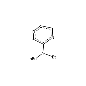 CCCCN(CC)c1[c]nccn1